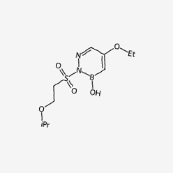 CCOC1=CB(O)N(S(=O)(=O)CCOC(C)C)N=C1